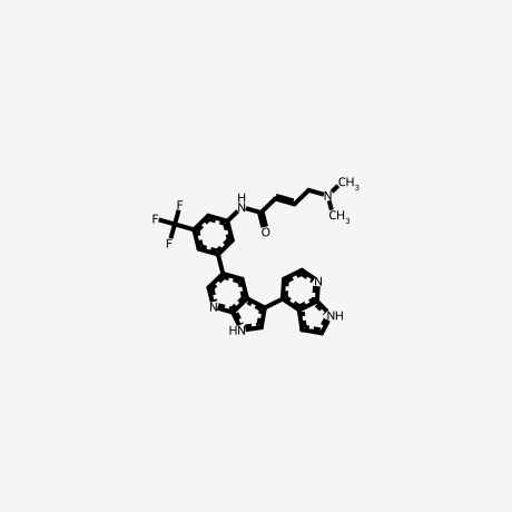 CN(C)CC=CC(=O)Nc1cc(-c2cnc3[nH]cc(-c4ccnc5[nH]ccc45)c3c2)cc(C(F)(F)F)c1